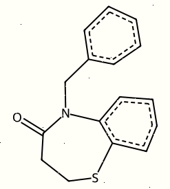 O=C1CCSc2ccccc2N1Cc1ccccc1